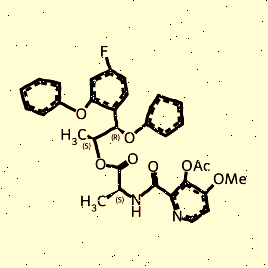 COc1ccnc(C(=O)N[C@@H](C)C(=O)O[C@@H](C)[C@H](Oc2ccccc2)c2ccc(F)cc2Oc2ccccc2)c1OC(C)=O